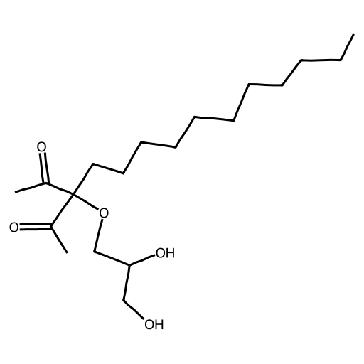 CCCCCCCCCCCC(OCC(O)CO)(C(C)=O)C(C)=O